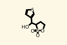 O=S1(=O)OCCC1C(O)c1ccsc1